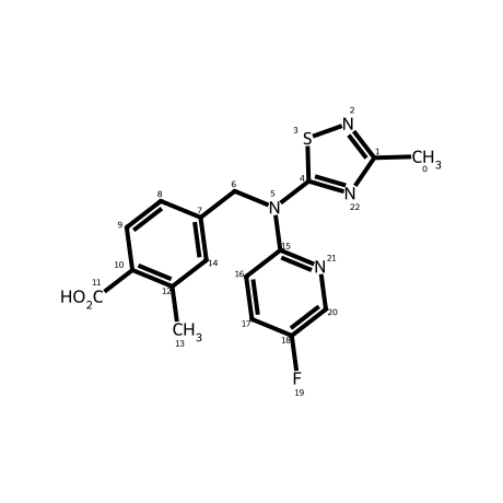 Cc1nsc(N(Cc2ccc(C(=O)O)c(C)c2)c2ccc(F)cn2)n1